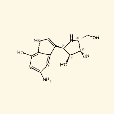 Nc1nc(O)c2[nH]cc([C@H]3N[C@H](CO)[C@@H](O)[C@H]3O)c2n1